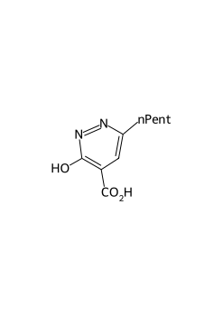 CCCCCc1cc(C(=O)O)c(O)nn1